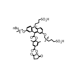 CCCC[N+](C)(C)COc1ccc2c(c1)c(C(=O)Oc1c(C)cc(C(=O)ON3C(=O)CCC3=O)cc1C)c1cc(OC[N+](C)(C)CCCS(=O)(=O)O)ccc1[n+]2CCCS(=O)(=O)O